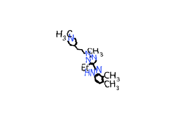 CCc1nc(N(C)CCCC2CCN(C)CC2)ncc1-c1nc2c(C)c(C)ccc2[nH]1